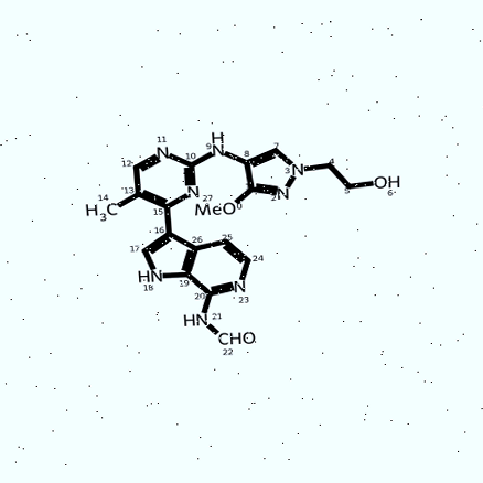 COc1nn(CCO)cc1Nc1ncc(C)c(-c2c[nH]c3c(NC=O)nccc23)n1